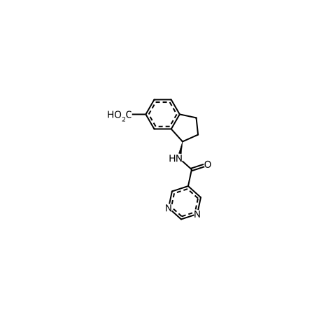 O=C(O)c1ccc2c(c1)[C@H](NC(=O)c1cncnc1)CC2